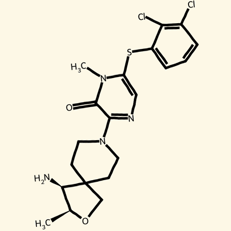 C[C@@H]1OCC2(CCN(c3ncc(Sc4cccc(Cl)c4Cl)n(C)c3=O)CC2)[C@@H]1N